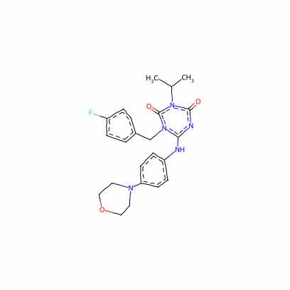 CC(C)n1c(=O)nc(Nc2ccc(N3CCOCC3)cc2)n(Cc2ccc(F)cc2)c1=O